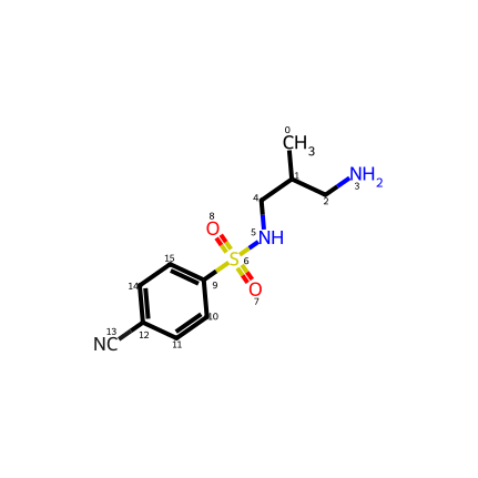 CC(CN)CNS(=O)(=O)c1ccc(C#N)cc1